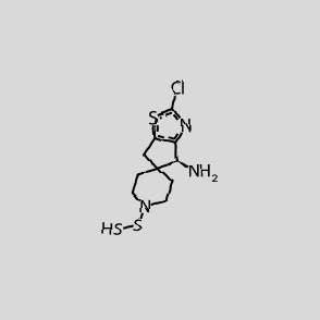 N[C@@H]1c2nc(Cl)sc2CC12CCN(SS)CC2